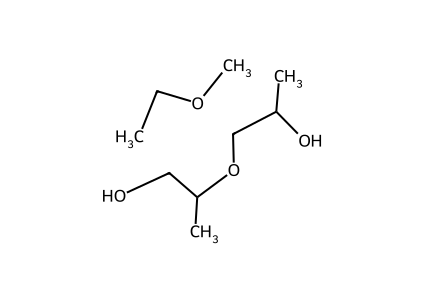 CC(O)COC(C)CO.CCOC